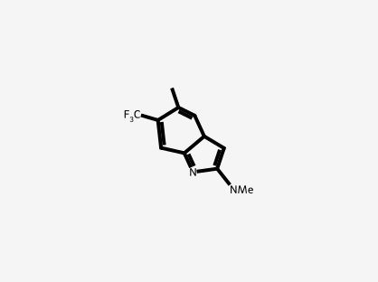 CNC1=CC2C=C(C)C(C(F)(F)F)=CC2=N1